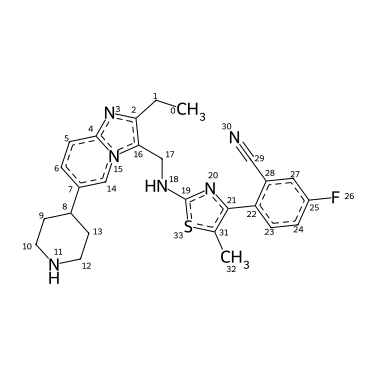 CCc1nc2ccc(C3CCNCC3)cn2c1CNc1nc(-c2ccc(F)cc2C#N)c(C)s1